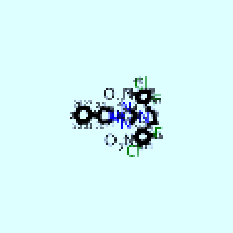 O=[N+]([O-])c1cc([C@H]2CC[C@@H](c3cc([N+](=O)[O-])c(Cl)cc3F)N2c2cnc(N3CCC(c4ccccc4)CC3)nc2)c(F)cc1Cl